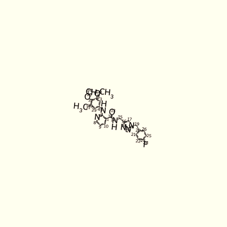 COc1cc(Nc2ncccc2C(=O)NCc2cn(Cc3ccc(F)cc3)nn2)cc(C)c1OC